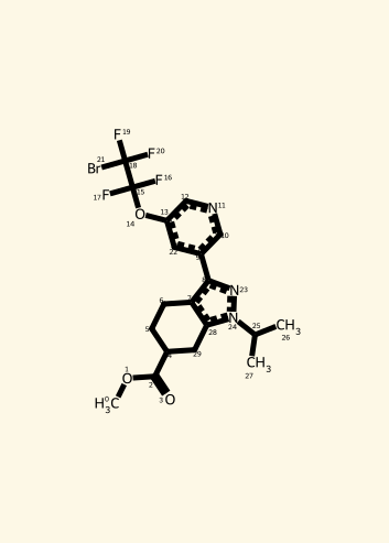 COC(=O)C1CCc2c(-c3cncc(OC(F)(F)C(F)(F)Br)c3)nn(C(C)C)c2C1